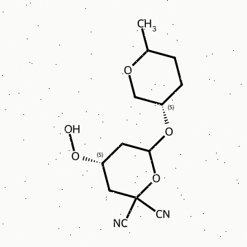 CC1CC[C@H](OC2C[C@@H](OO)CC(C#N)(C#N)O2)CO1